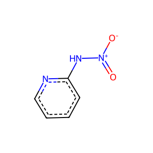 O=[N+]([O-])Nc1ccccn1